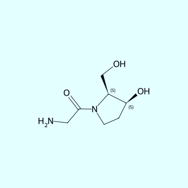 NCC(=O)N1CC[C@H](O)[C@@H]1CO